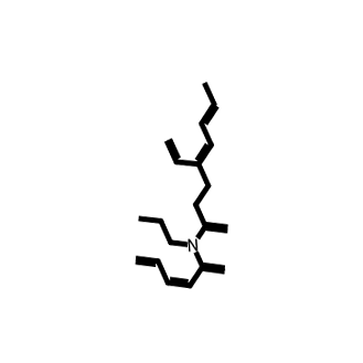 C=C/C=C\C(=C)N(CCC)C(=C)CC/C(C=C)=C/C=C/C